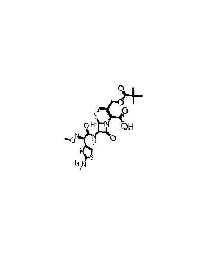 CO/N=C(/C(=O)NC1C(=O)N2C(C(=O)O)=C(COC(=O)C(C)(C)C)CS[C@H]12)c1csc(N)n1